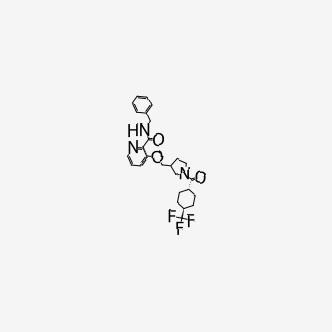 O=C(NCc1ccccc1)c1ncccc1OCC1CCN(C(=O)[C@H]2CC[C@H](C(F)(F)F)CC2)C1